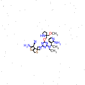 CCN(c1nc(OCC2(COC)CCCN2)nc(N2CC3(C2)SCc2sc(N)c(C#N)c23)n1)[C@H](C)c1cccnc1N